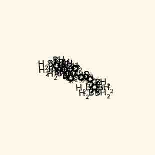 Bc1c(B)c(B)c(-c2ccc3oc4cc(-c5c6ccccc6c(-c6c(B)c(B)c(-c7c(B)c(B)c(B)c(B)c7B)c(B)c6B)c6ccccc56)ccc4c3c2)c(B)c1B